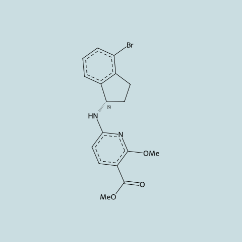 COC(=O)c1ccc(N[C@H]2CCc3c(Br)cccc32)nc1OC